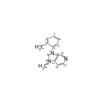 Cc1ccccc1N1CN(C)c2ccncc21